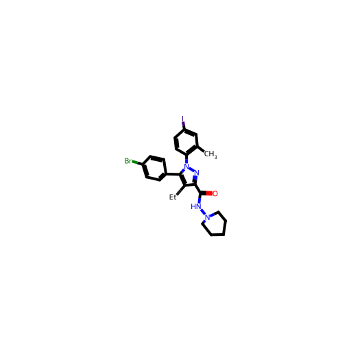 CCc1c(C(=O)NN2CCCCC2)nn(-c2ccc(I)cc2C)c1-c1ccc(Br)cc1